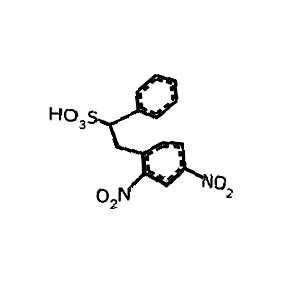 O=[N+]([O-])c1ccc(CC(c2ccccc2)S(=O)(=O)O)c([N+](=O)[O-])c1